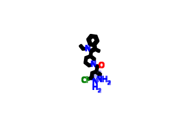 CCn1c(C2CCCN(C(=O)C(/C=C(\N)Cl)=C/N)C2)c(C)c2ccccc21